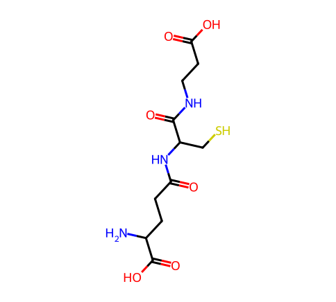 NC(CCC(=O)NC(CS)C(=O)NCCC(=O)O)C(=O)O